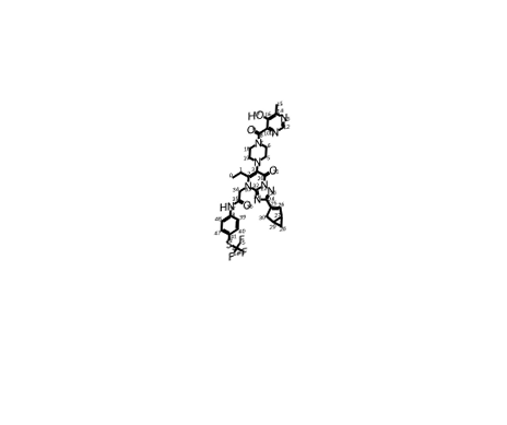 CCc1c(N2CCN(C(=O)c3ncnc(C)c3O)CC2)c(=O)n2nc(C3=CC4CC4C3)nc2n1CC(=O)Nc1ccc(SC(F)(F)F)cc1